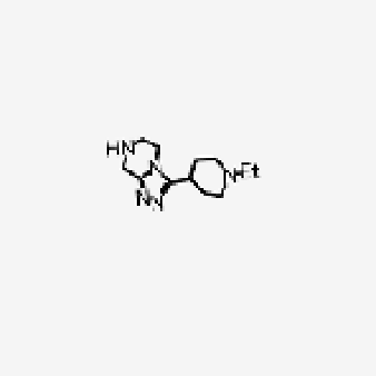 CCN1CCC(c2nnc3n2CCNC3)CC1